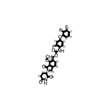 COc1c(COC(=O)Nc2ccc(Oc3cccc(F)c3F)cc2F)ccc2c1C(=O)N(C1CCC(=O)NC1=O)C2